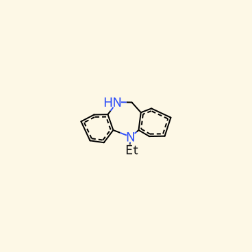 CCN1c2ccccc2CNc2ccccc21